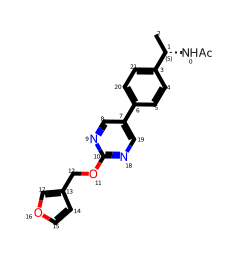 CC(=O)N[C@@H](C)c1ccc(-c2cnc(OCc3ccoc3)nc2)cc1